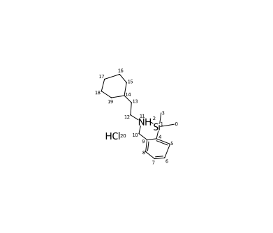 C[Si](C)(C)c1ccccc1CNCCC1CCCCC1.Cl